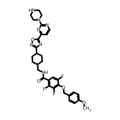 COc1ccc(COc2c(F)cc(C(=O)NCC3CCC(c4noc(-c5ccnc(N6CCNCC6)n5)n4)CC3)c(F)c2F)cc1